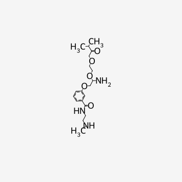 CNCCNC(=O)c1cccc(OCC(N)OCCOCC(=O)C(C)C)c1